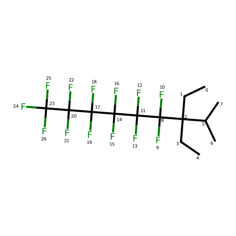 CCC(CC)([C](C)C)C(F)(F)C(F)(F)C(F)(F)C(F)(F)C(F)(F)C(F)(F)F